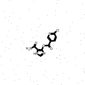 NC(=O)c1[nH]cnc1OC(=O)c1ccc(Cl)nc1